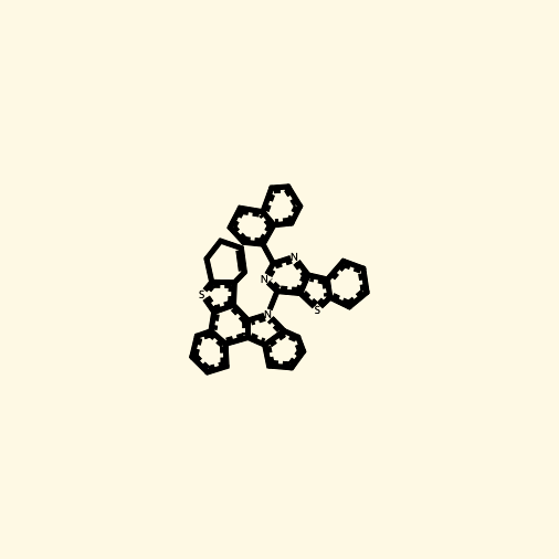 C1=Cc2c(sc3c4ccccc4c4c5ccccc5n(-c5nc(-c6cccc7ccccc67)nc6c5sc5ccccc56)c4c23)CC1